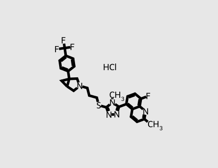 Cc1ccc2c(-c3nnc(SCCCN4CC5CC5(c5ccc(C(F)(F)F)cc5)C4)n3C)ccc(F)c2n1.Cl